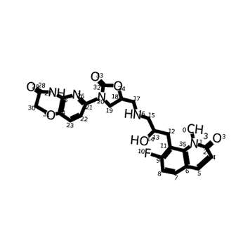 Cn1c(=O)ccc2ccc(F)c(CC(O)CNCC3CN(c4ccc5c(n4)NC(=O)CO5)C(=O)O3)c21